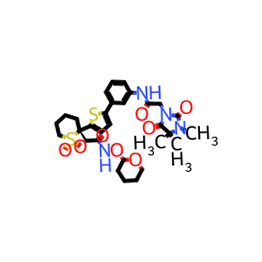 CN1C(=O)N(CC(=O)Nc2cccc(-c3ccc([C@@]4(CC(=O)NOC5CCCCO5)CCCCS4(=O)=O)s3)c2)C(=O)C1(C)C